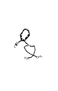 [C-]#[N+]c1ccccc1N1CCC(C)(CN)CC1